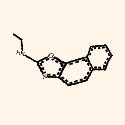 CCNc1nc2ccc3ccccc3c2o1